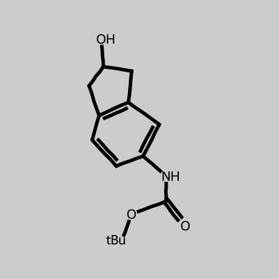 CC(C)(C)OC(=O)Nc1ccc2c(c1)CC(O)C2